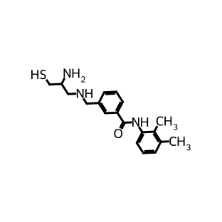 Cc1cccc(NC(=O)c2cccc(CNCC(N)CS)c2)c1C